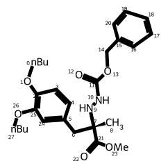 CCCCOc1ccc(C[C@](C)(NNC(=O)OCc2ccccc2)C(=O)OC)cc1OCCCC